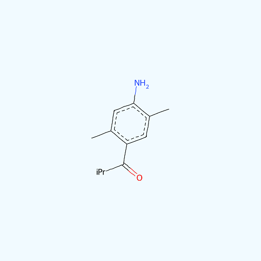 Cc1cc(C(=O)C(C)C)c(C)cc1N